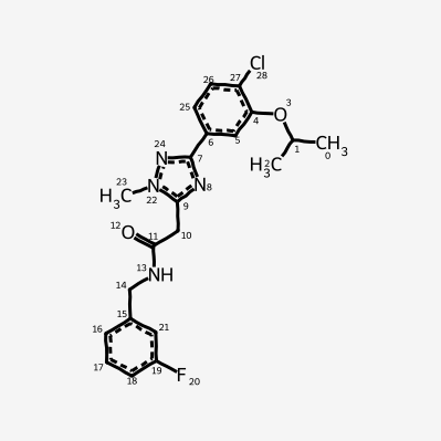 CC(C)Oc1cc(-c2nc(CC(=O)NCc3cccc(F)c3)n(C)n2)ccc1Cl